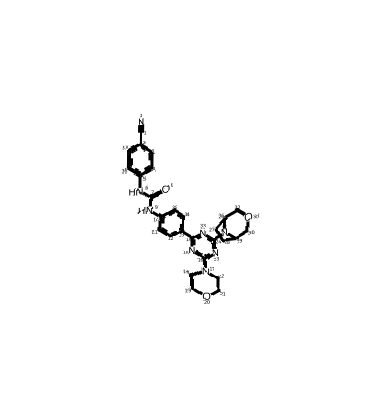 N#Cc1ccc(NC(=O)Nc2ccc(-c3nc(N4CCOCC4)nc(N4C5CCC4COC5)n3)cc2)cc1